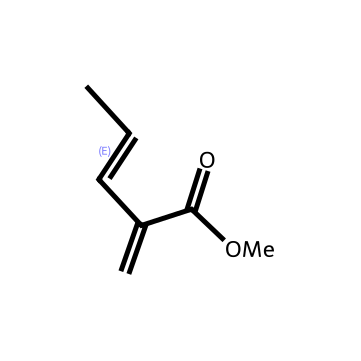 C=C(/C=C/C)C(=O)OC